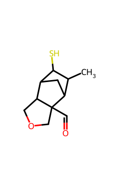 CC1C(S)C2CC1C1(C=O)COCC21